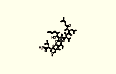 C/C=C/C[C@@H](C)[C@@H](O)[C@@H](C(=O)N[C@@H](CC)C(=O)N(C)[C@H](COC)C(=O)N(C)[C@@H](CC(C)C)C(N)=O)N(C)C(=O)[C@H](C(C)C)N(C)C(=O)[C@H](CC(C)C)N(C)C(=O)CCC(C)C